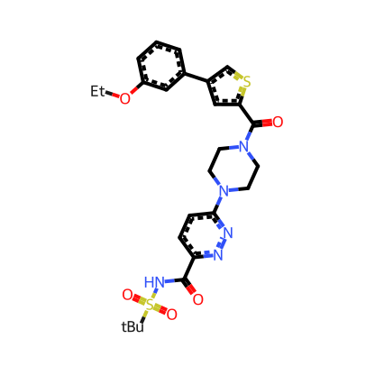 CCOc1cccc(-c2csc(C(=O)N3CCN(c4ccc(C(=O)NS(=O)(=O)C(C)(C)C)nn4)CC3)c2)c1